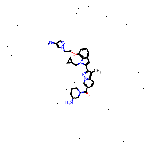 Cc1c(-c2cc3cccc(OCCn4cc(N)cn4)c3n2CC2CC2)nn2cc(C(=O)N3CCCC(N)C3)ccc12